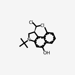 Cc1cccc2c(O)cc3c(c12)[C@H](C(Cl)Cl)CN3C(C)(C)C